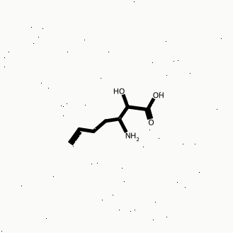 C=CCCC(N)C(O)C(=O)O